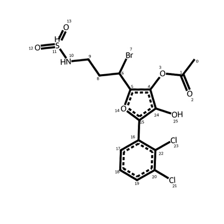 CC(=O)Oc1c(C(Br)CCN[SH](=O)=O)oc(-c2cccc(Cl)c2Cl)c1O